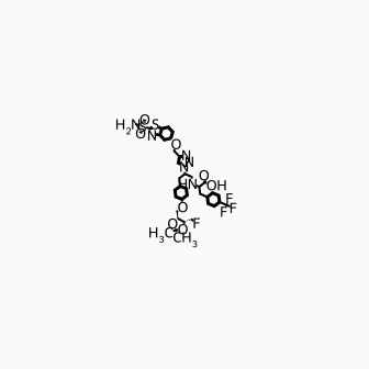 CC1(C)O[C@@H](CF)[C@H](COc2ccc(CC(CNC(Cc3ccc(C(F)(F)F)cc3)C(=O)O)n3cc(COc4ccc5sc(S(N)(=O)=O)nc5c4)nn3)cc2)O1